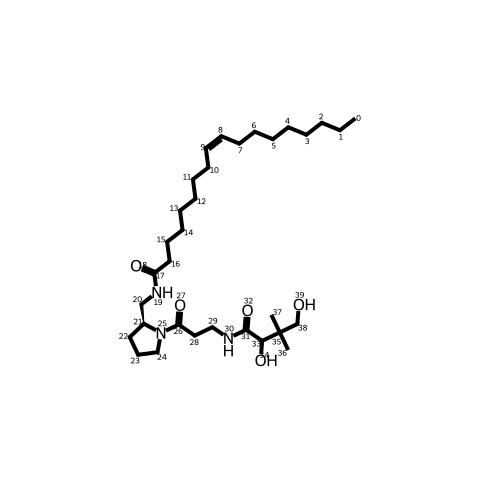 CCCCCCCC/C=C\CCCCCCCC(=O)NC[C@@H]1CCCN1C(=O)CCNC(=O)C(O)C(C)(C)CO